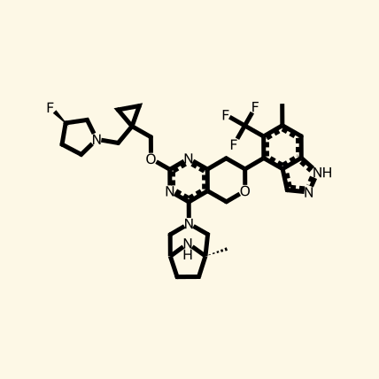 Cc1cc2[nH]ncc2c(C2Cc3nc(OCC4(CN5CC[C@@H](F)C5)CC4)nc(N4CC5CC[C@](C)(C4)N5)c3CO2)c1C(F)(F)F